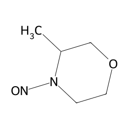 CC1COCCN1N=O